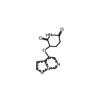 O=C1CCC(Oc2cncn3nccc23)C(=O)N1